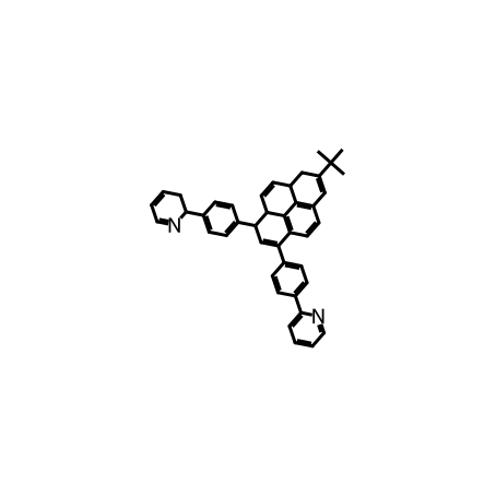 CC(C)(C)C1=Cc2ccc3c4c2C(C=CC4C(c2ccc(C4CC=CC=N4)cc2)C=C3c2ccc(-c3ccccn3)cc2)C1